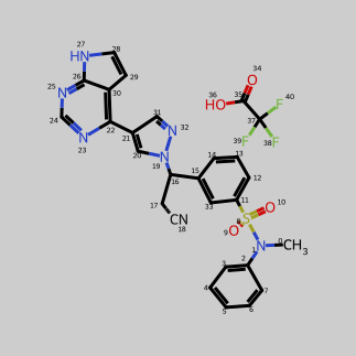 CN(c1ccccc1)S(=O)(=O)c1cccc(C(CC#N)n2cc(-c3ncnc4[nH]ccc34)cn2)c1.O=C(O)C(F)(F)F